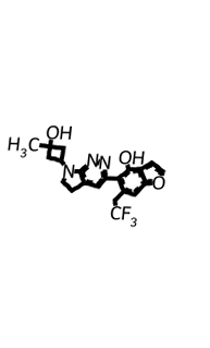 CC1(O)CC(N2CCc3cc(-c4c(CC(F)(F)F)cc5occc5c4O)nnc32)C1